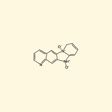 [O-][NH+]1C2=CC=CC[N+]2([O-])c2cc3cccnc3cc21